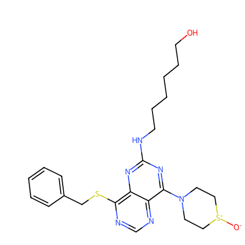 [O-][S+]1CCN(c2nc(NCCCCCCO)nc3c(SCc4ccccc4)ncnc23)CC1